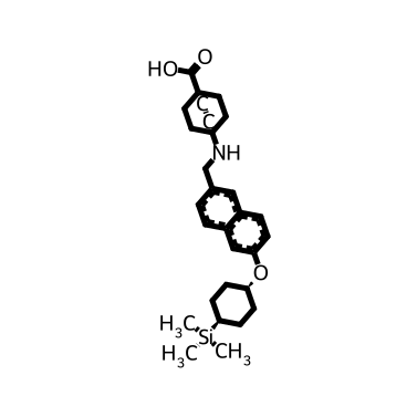 C[Si](C)(C)[C@H]1CC[C@H](Oc2ccc3cc(CNC45CCC(C(=O)O)(CC4)CC5)ccc3c2)CC1